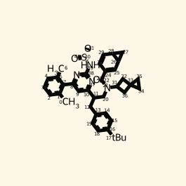 Cc1cccc(C)c1-c1cc(C(Cc2ccc(C(C)(C)C)cc2)CN(C(=O)C2=CC3CC3C=C2)C2CC3(CC3)C2)nc(N[SH](=O)=O)n1